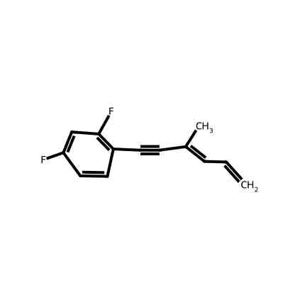 C=C/C=C(\C)C#Cc1ccc(F)cc1F